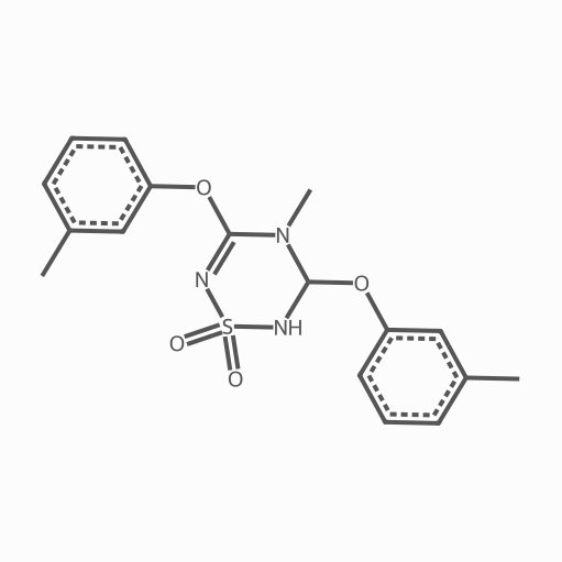 Cc1cccc(OC2=NS(=O)(=O)NC(Oc3cccc(C)c3)N2C)c1